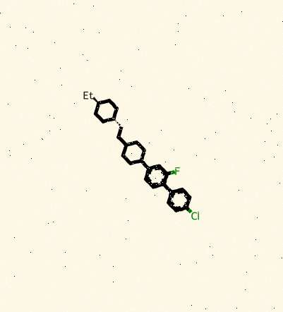 CC[C@H]1CC[C@H](CCC2CCC(c3ccc(-c4ccc(Cl)cc4)c(F)c3)CC2)CC1